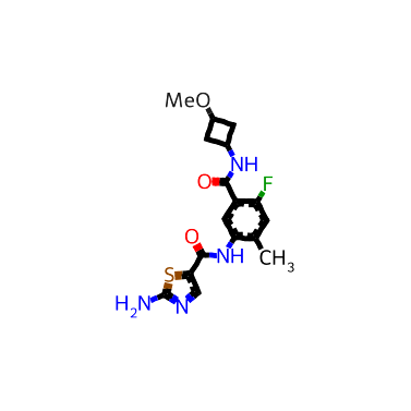 COC1CC(NC(=O)c2cc(NC(=O)c3cnc(N)s3)c(C)cc2F)C1